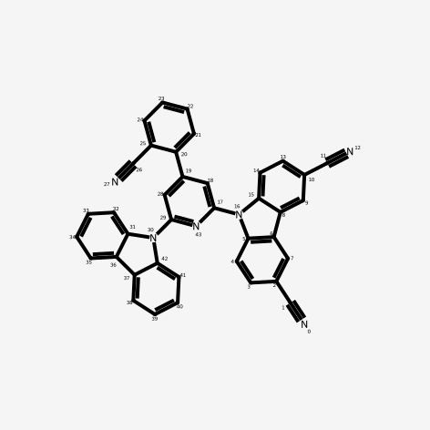 N#Cc1ccc2c(c1)c1cc(C#N)ccc1n2-c1cc(-c2ccccc2C#N)cc(-n2c3ccccc3c3ccccc32)n1